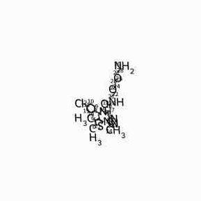 Cc1sc2c(c1C)C(c1ccc(Cl)cc1)=N[C@H](CC(=O)NCCOCCOCCN)c1nnc(C)n1-2